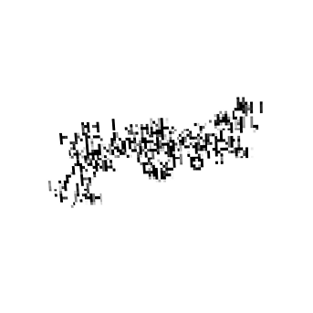 CC(C)C[C@H](NC(=O)[C@H](CCCNC(=N)N)NC(=O)[C@@H](NC(=O)[C@H](Cc1ccc(O)cc1)NC(=O)[C@H](CC(N)=O)NC(=O)[C@H](CC(=O)O)NC(=O)[C@@H](NC(=O)[C@H](Cc1ccccc1)NC(=O)[C@@H](NC(=O)[C@H](C)NC(=O)[C@H](CC(=O)O)NC(=O)[C@H](CO)NC(=O)[C@@H](N)Cc1c[nH]cn1)C(C)C)[C@@H](C)O)[C@@H](C)O)C(=O)N[C@@H](CCCNC(=N)N)C(=O)N[C@@H](CCCCN)C(=O)O